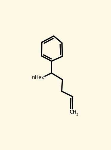 C=CCCC(CCCCCC)c1ccccc1